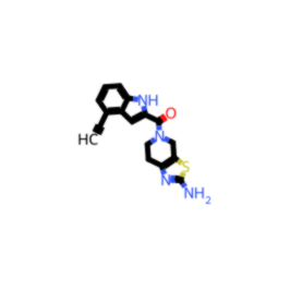 C#Cc1cccc2[nH]c(C(=O)N3CCc4nc(N)sc4C3)cc12